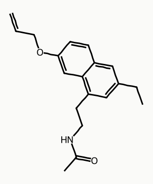 C=CCOc1ccc2cc(CC)cc(CCNC(C)=O)c2c1